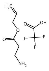 C=CCOC(=O)CCN.O=C(O)C(F)(F)F